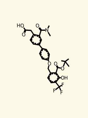 CN(C)C(=O)c1cc(-c2ccc(OCc3ccc(C(F)(F)F)c(O)c3C(=O)OC(C)(C)C)cc2)ccc1CC(=O)O